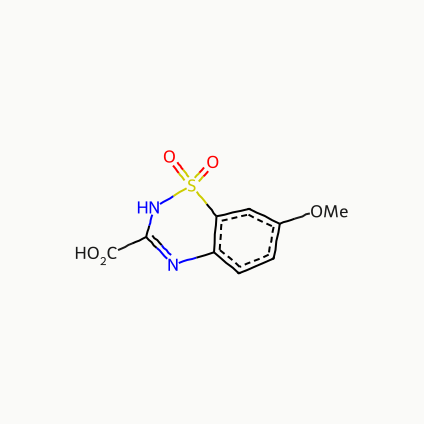 COc1ccc2c(c1)S(=O)(=O)NC(C(=O)O)=N2